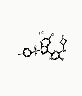 Cc1ccc(S(=O)(=O)n2cc(-c3ncc(F)c(NC4CNC4)n3)c3cc(Cl)cnc32)cc1.Cl